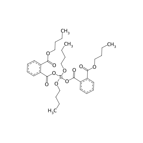 CCCCOC(=O)c1ccccc1C(=O)[O][Ti]([O]CCCC)([O]CCCC)[O]C(=O)c1ccccc1C(=O)OCCCC